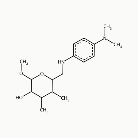 COC1OC(CNc2ccc(N(C)C)cc2)C(C)C(C)C1O